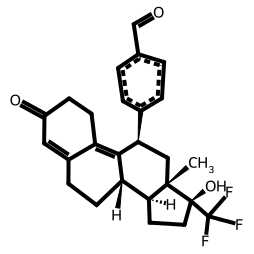 C[C@]12C[C@H](c3ccc(C=O)cc3)C3=C4CCC(=O)C=C4CC[C@H]3[C@@H]1CC[C@@]2(O)C(F)(F)F